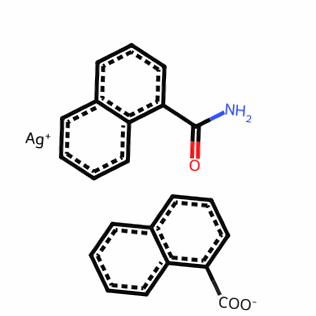 NC(=O)c1cccc2ccccc12.O=C([O-])c1cccc2ccccc12.[Ag+]